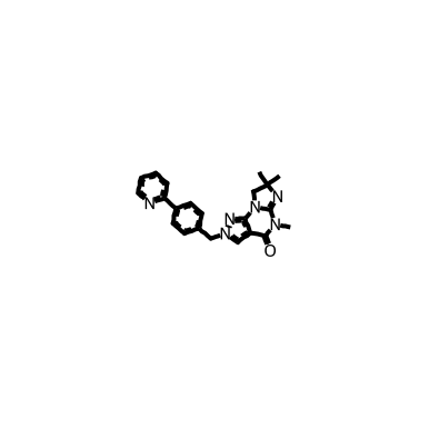 CN1C(=O)c2cn(Cc3ccc(-c4ccccn4)cc3)nc2N2CC(C)(C)N=C12